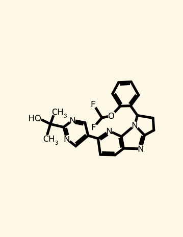 CC(C)(O)c1ncc(-c2ccc3nc4n(c3n2)C(c2ccccc2OC(F)F)CC4)cn1